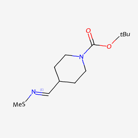 CS/N=C/C1CCN(C(=O)OC(C)(C)C)CC1